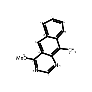 COc1ncnc2c(C(F)(F)F)c3ccccc3cc12